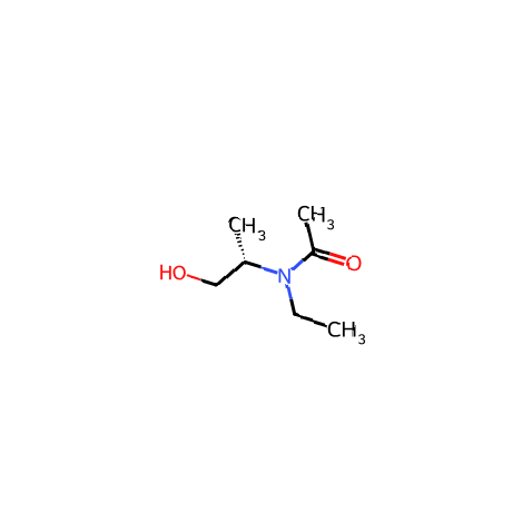 CCN(C(C)=O)[C@@H](C)CO